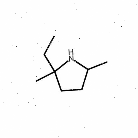 CCC1(C)CCC(C)N1